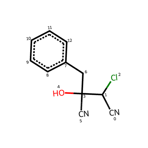 N#CC(Cl)C(O)(C#N)Cc1ccccc1